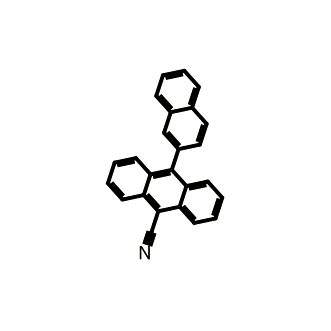 N#Cc1c2ccccc2c(-c2ccc3ccccc3c2)c2ccccc12